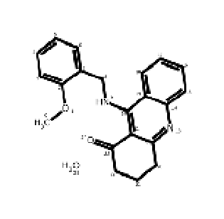 COc1ccccc1CNc1c2c(nc3ccccc13)CCCC2=O.O